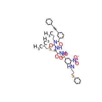 CCCN(C(=O)N[C@@H](CSCC(C)C)C(=O)NS(=O)(=O)c1ccc(NCCSc2ccccc2)c([N+](=O)[O-])c1)C(=O)c1cccc(C#Cc2ccccc2)c1